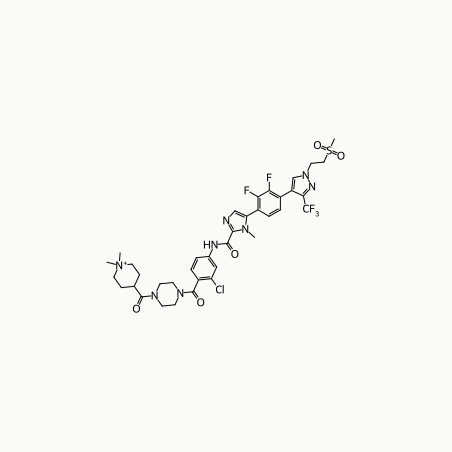 Cn1c(-c2ccc(-c3cn(CCS(C)(=O)=O)nc3C(F)(F)F)c(F)c2F)cnc1C(=O)Nc1ccc(C(=O)N2CCN(C(=O)C3CC[N+](C)(C)CC3)CC2)c(Cl)c1